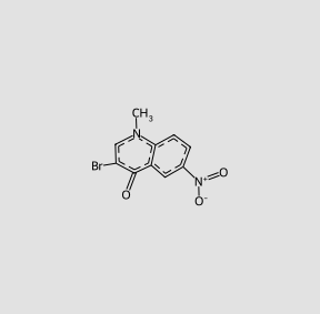 Cn1cc(Br)c(=O)c2cc([N+](=O)[O-])ccc21